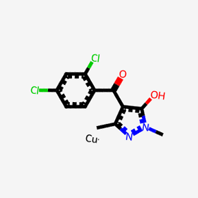 Cc1nn(C)c(O)c1C(=O)c1ccc(Cl)cc1Cl.[Cu]